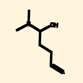 [CH]=CCCC(O)N(C)C